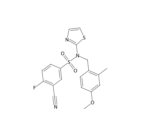 COc1ccc(CN(c2nccs2)S(=O)(=O)c2ccc(F)c(C#N)c2)c(C)c1